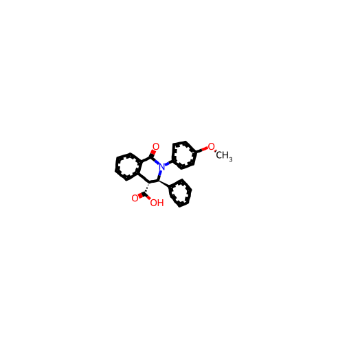 COc1ccc(N2C(=O)c3ccccc3[C@@H](C(=O)O)[C@@H]2c2ccccc2)cc1